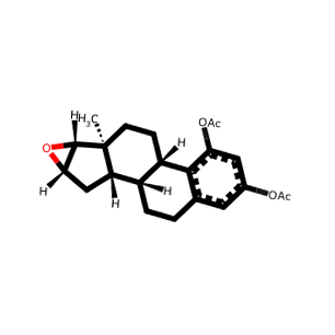 CC(=O)Oc1cc2c(c(OC(C)=O)c1)[C@H]1CC[C@@]3(C)[C@@H](C[C@@H]4O[C@@H]43)[C@H]1CC2